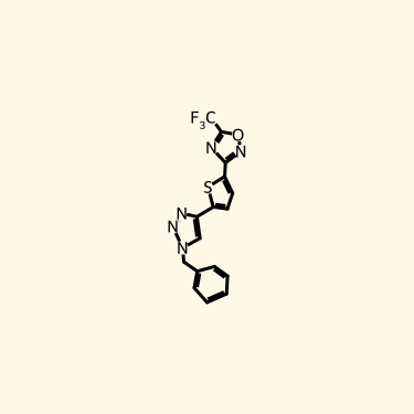 FC(F)(F)c1nc(-c2ccc(-c3cn(Cc4ccccc4)nn3)s2)no1